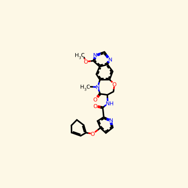 COc1ncnc2cc3c(cc12)N(C)C(=O)C(NC(=O)c1cc(OC2=CCCC=C2)ccn1)CO3